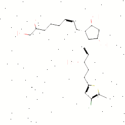 Cc1sc(CC[C@H](O)/C=C/[C@@H]2[C@@H](C/C=C\CCCC(O)CO)[C@@H](O)C[C@H]2O)cc1Cl